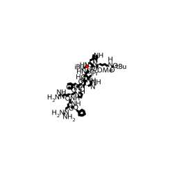 CC[C@H](C)[C@H](NC(=O)C(O)C(CC(C)C)NC(=O)[C@H](Cc1c[nH]cn1)NC(=O)[C@H](Cc1ccccc1)NC(=O)[C@@H]1CCCN1C(=O)[C@H](CCCN=C(N)N)NC(=O)[C@H](CCCN=C(N)N)NC(=O)OCc1ccccc1)C(=O)N[C@@H](Cc1c[nH]cn1)C(=O)N[C@@H](CCCCNC(=O)OC(C)(C)C)C(=O)OC